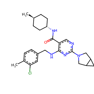 Cc1ccc(CNc2nc(N3CC4CC4C3)ncc2C(=O)N[C@H]2CC[C@H](C)CC2)cc1Cl